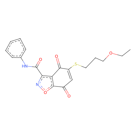 CCOCCCSC1=CC(=O)c2onc(C(=O)Nc3ccccc3)c2C1=O